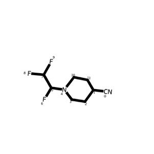 N#CC1CCN(C(F)C(F)F)CC1